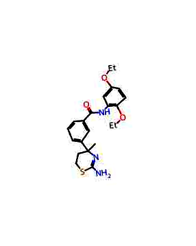 CCOc1ccc(OCC)c(NC(=O)c2cccc(C3(C)CCSC(N)=N3)c2)c1